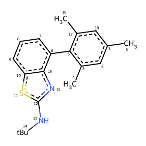 Cc1cc(C)c(-c2cccc3sc(NC(C)(C)C)nc23)c(C)c1